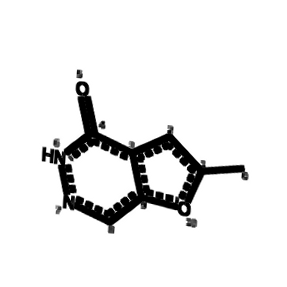 Cc1cc2c(=O)[nH]ncc2o1